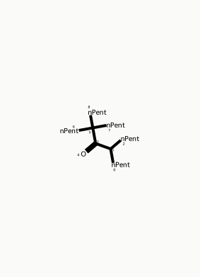 CCCCCC(CCCCC)C(=O)C(CCCCC)(CCCCC)CCCCC